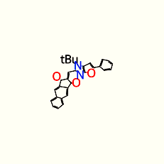 CC(C)(C)n1c(C=C2C(=O)c3cc4ccccc4cc3C2=O)nc2oc(-c3ccccc3)cc21